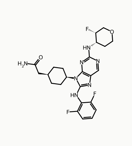 NC(=O)C[C@H]1CC[C@@H](n2c(Nc3c(F)cccc3F)nc3cnc(N[C@H]4CCOC[C@H]4F)nc32)CC1